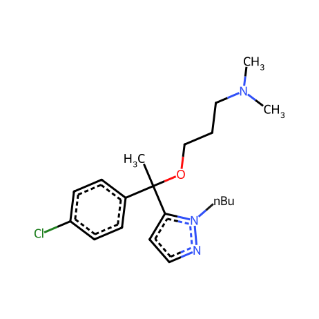 CCCCn1nccc1C(C)(OCCCN(C)C)c1ccc(Cl)cc1